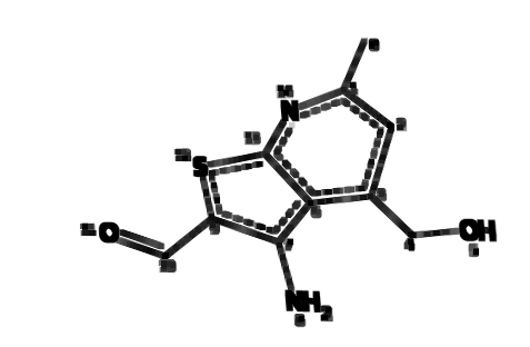 Cc1cc(CO)c2c(N)c(C=O)sc2n1